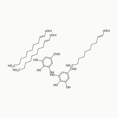 CCCCCCCCC=CCCCCCCCC(=O)O.CCCCCCCCC=CCCCCCCCC(=O)O.CCCCCCCCC=CCCCCCCCC(=O)O.O=Cc1cc(O)c(O)c(O)c1.O=Cc1cc(O)c(O)c(O)c1